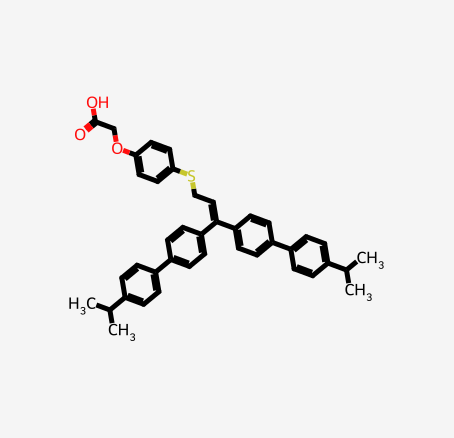 CC(C)c1ccc(-c2ccc(C(=CCSc3ccc(OCC(=O)O)cc3)c3ccc(-c4ccc(C(C)C)cc4)cc3)cc2)cc1